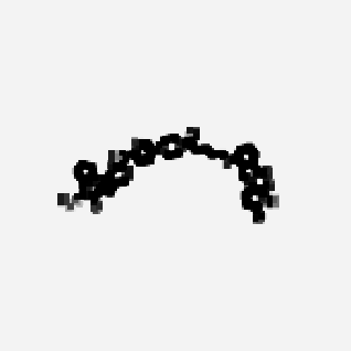 CN(C)C(=O)c1cc2cnc(Nc3ccc(N4CCN(C(=O)CCCCSc5cccc6c5CN(C5CCC(=O)NC5=O)C6=O)CC4)cn3)nc2n1C1CCCC1